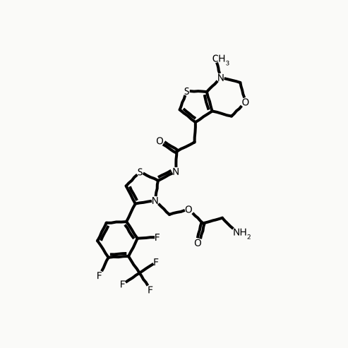 CN1COCc2c(CC(=O)/N=c3\scc(-c4ccc(F)c(C(F)(F)F)c4F)n3COC(=O)CN)csc21